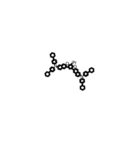 CC(C)c1c2oc3cc4cc(N(c5ccc(C6CCCCC6)cc5)c5ccc(C6CCCCC6)cc5)ccc4cc3c2cc2c1oc1cc3cc(N(c4ccc(C5CCCCC5)cc4)c4ccc(C5CCCCC5)cc4)ccc3cc12